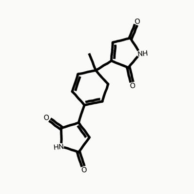 CC1(C2=CC(=O)NC2=O)C=CC(C2=CC(=O)NC2=O)=CC1